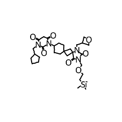 C[Si](C)(C)CCOCN1C(=O)N(CC2COC2)C2(CC3(CCC(N4C(=O)CC(=O)N(CC5CCCC5)C4=O)CC3)C2)C1=O